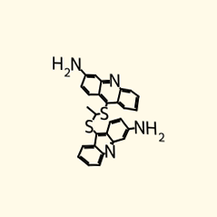 CC(Sc1c2ccccc2nc2cc(N)ccc12)Sc1c2ccccc2nc2cc(N)ccc12